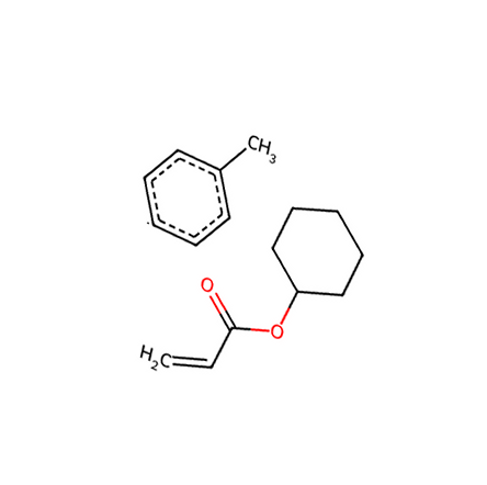 C=CC(=O)OC1CCCCC1.Cc1cc[c]cc1